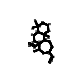 CC1CC(C=O)CCC2C3(C)CCCC(C)(C)C3CCC12C=O